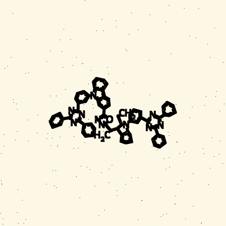 C=CC1C(C(=C)c2nnc(-c3ccc4c5ccccc5n(-c5cccc(-c6nc(-c7ccccc7)nc(-c7ccccc7)n6)c5)c4c3)o2)c2ccccc2N1c1cccc(-c2nc(-c3ccccc3)nc(-c3ccccc3)n2)c1